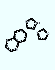 c1c[nH]cn1.c1ccc2nccnc2c1.c1cocn1